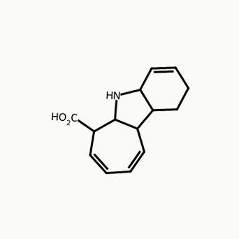 O=C(O)C1C=CC=CC2C3CCC=CC3NC12